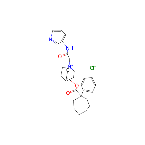 O=C(C[N+]12CCC(CC1)C(OC(=O)C1(c3ccccc3)CCCCCC1)C2)Nc1cccnc1.[Cl-]